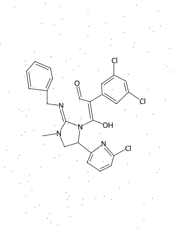 CN1CC(c2cccc(Cl)n2)N(/C(O)=C(\C=O)c2cc(Cl)cc(Cl)c2)/C1=N/Cc1ccccc1